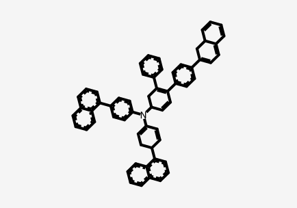 C1=CC2=CC=C(c3ccc(C4=C(c5ccccc5)CC(N(C5=CCC(c6cccc7ccccc67)C=C5)c5ccc(-c6cccc7ccccc67)cc5)C=C4)cc3)CC2C=C1